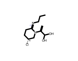 C=C(C(O)O)N1C[C@H](Cl)CC/C1=N/CCC